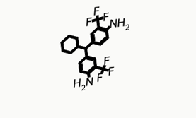 Nc1ccc(C(c2ccc(N)c(C(F)(F)F)c2)C2CCCCC2)cc1C(F)(F)F